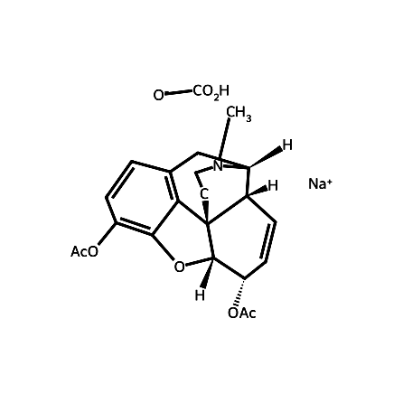 CC(=O)Oc1ccc2c3c1O[C@H]1[C@@H](OC(C)=O)C=C[C@H]4[C@@H](C2)N(C)CC[C@@]341.O=C([O-])O.[Na+]